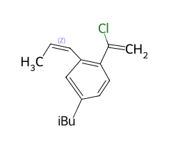 C=C(Cl)c1ccc(C(C)CC)cc1/C=C\C